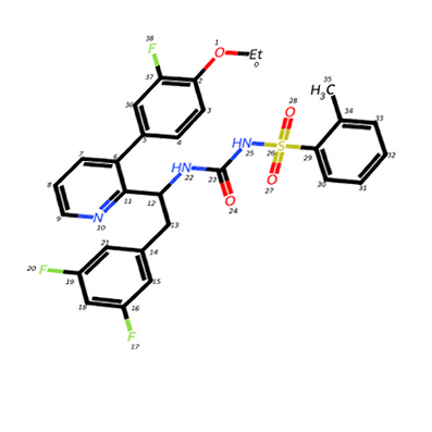 CCOc1ccc(-c2cccnc2C(Cc2cc(F)cc(F)c2)NC(=O)NS(=O)(=O)c2ccccc2C)cc1F